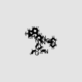 C=CC(=O)N1CCN(c2nc(OCC34CCCN3CCC4)nc3cc(-c4cccc5c4[C@@H]4C[C@@H]4C5)cnc23)C[C@@H]1CC#N